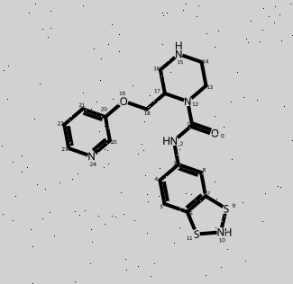 O=C(Nc1ccc2c(c1)SNS2)N1CCNCC1COc1cccnc1